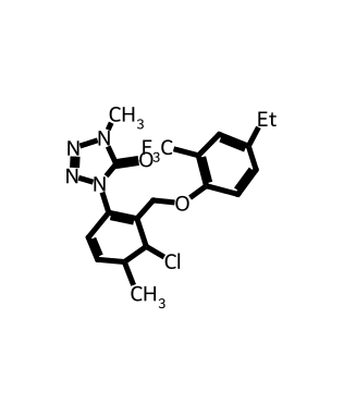 CCc1ccc(OCC2=C(n3nnn(C)c3=O)C=CC(C)C2Cl)c(C(F)(F)F)c1